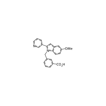 COc1ccc2c(c1)cc(-c1cccnc1)n2Cc1cccc(C(=O)O)c1